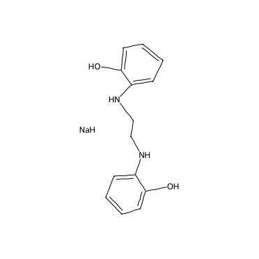 Oc1ccccc1NCCNc1ccccc1O.[NaH]